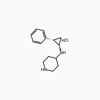 Cl.c1ccc([C@@H]2C[C@H]2NC2CCNCC2)cc1